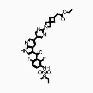 CCOC(=O)CC1CC2(C1)CN(c1ncc(-c3cnc4[nH]cc(C(=O)c5c(F)ccc(NS(=O)(=O)N(C)CC)c5F)c4c3)cn1)C2